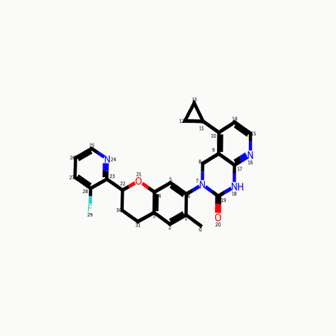 Cc1cc2c(cc1N1Cc3c(C4CC4)ccnc3NC1=O)OC(c1ncccc1F)CC2